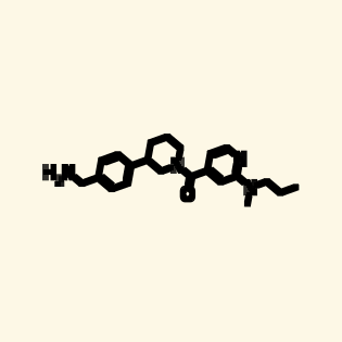 CCCN(C)c1cc(C(=O)N2CCCC(c3ccc(CN)cc3)C2)ccn1